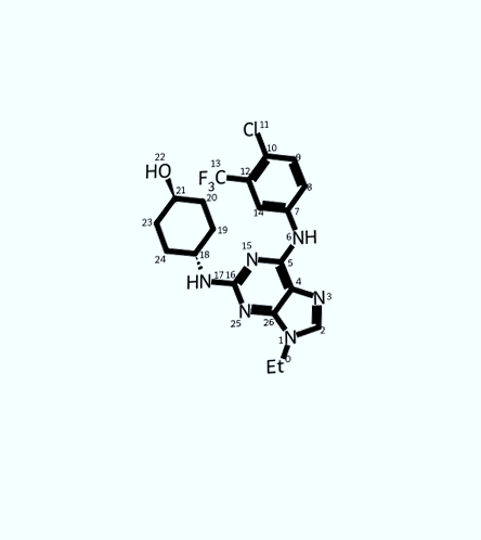 CCn1cnc2c(Nc3ccc(Cl)c(C(F)(F)F)c3)nc(N[C@H]3CC[C@H](O)CC3)nc21